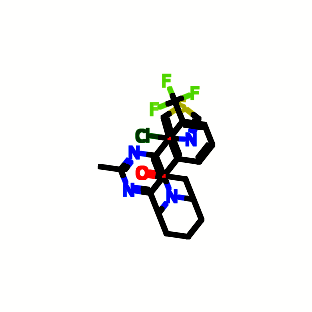 Cc1nc(-c2cscn2)c2c(n1)C1CCCC(C2)N1C(=O)c1cccc(C(F)(F)F)c1Cl